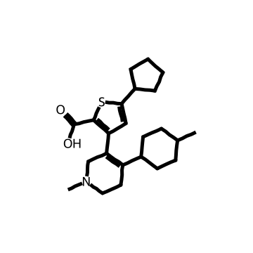 CC1CCC(C2=C(c3cc(C4CCCC4)sc3C(=O)O)CN(C)CC2)CC1